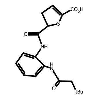 CC(C)(C)CC(=O)Nc1ccccc1NC(=O)C1CC=C(C(=O)O)S1